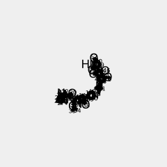 COc1cc(N2CC(CN3CCC(N4Cc5cc(NC(=O)c6cnn7cccnc67)c(OC(C)C)nc5C4=O)CC3)C2)cc2c1C(=O)N(C1CCC(=O)NC1=O)C2=O